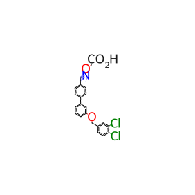 O=C(O)CO/N=C/c1ccc(-c2cccc(OCc3ccc(Cl)c(Cl)c3)c2)cc1